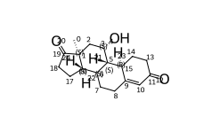 C[C@]12C[C@H](O)[C@H]3[C@@H](CCC4=CC(=O)CC[C@@H]43)[C@@H]1CCC2=O